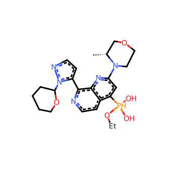 CCO[PH](O)(O)c1cc(N2CCOC[C@H]2C)nc2c(-c3ccnn3C3CCCCO3)nccc12